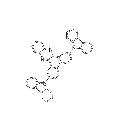 c1ccc2nc3c4cc(-n5c6ccccc6c6ccccc65)ccc4c4ccc(-n5c6ccccc6c6ccccc65)cc4c3nc2c1